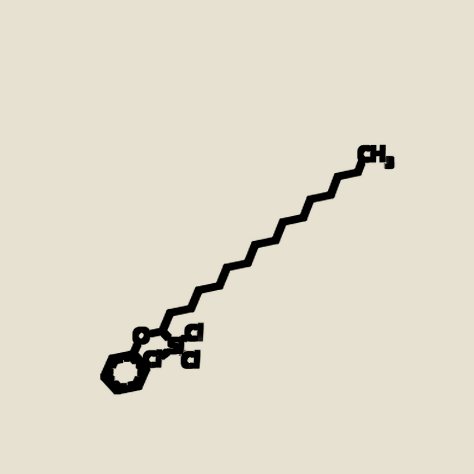 CCCCCCCCCCCCCCCC(Oc1ccccc1)[Si](Cl)(Cl)Cl